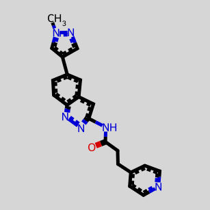 Cn1cc(-c2ccc3nnc(NC(=O)CCc4ccncc4)cc3c2)cn1